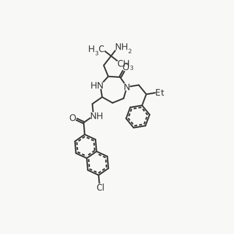 CCC(CN1CCC(CNC(=O)c2ccc3cc(Cl)ccc3c2)NC(CC(C)(C)N)C1=O)c1ccccc1